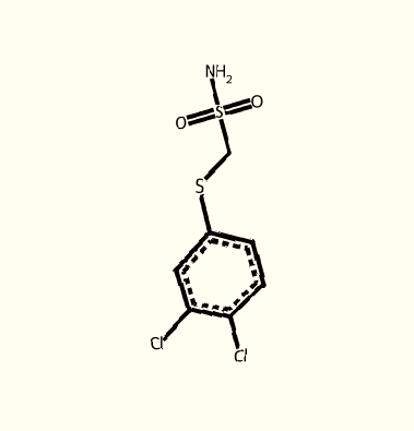 NS(=O)(=O)CSc1ccc(Cl)c(Cl)c1